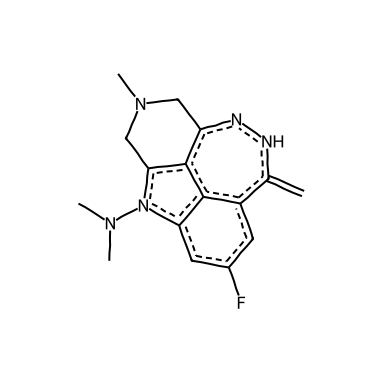 C=c1[nH]nc2c3c(n(N(C)C)c4cc(F)cc1c34)CN(C)C2